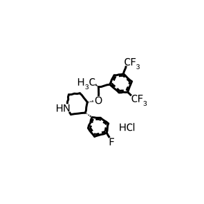 C[C@@H](O[C@H]1CCNC[C@H]1c1ccc(F)cc1)c1cc(C(F)(F)F)cc(C(F)(F)F)c1.Cl